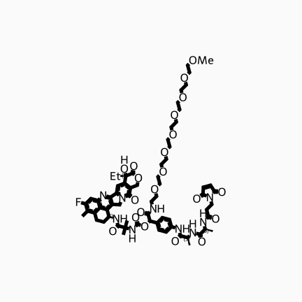 CC[C@@]1(O)C(=O)OCc2c1cc1n(c2=O)Cc2c-1nc1cc(F)c(C)c3c1c2[C@@H](NC(=O)C(C)(C)NC(=O)OC(C(=O)NCCOCCOCCOCCOCCOCCOCCOCCOC)c1ccc(NC(=O)[C@H](C)NC(=O)[C@H](C)NC(=O)CCN2C(=O)C=CC2=O)cc1)CC3